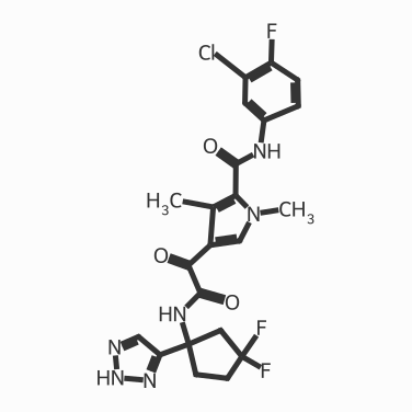 Cc1c(C(=O)C(=O)NC2(c3cn[nH]n3)CCC(F)(F)C2)cn(C)c1C(=O)Nc1ccc(F)c(Cl)c1